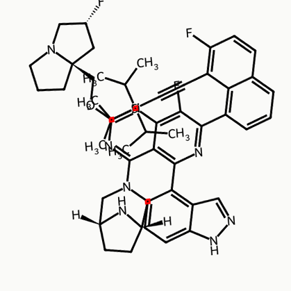 CC(C)[Si](C#Cc1c(F)ccc2cccc(-c3nc(-c4cccc5[nH]ncc45)c4c(N5C[C@H]6CC[C@@H](C5)N6)nc(OC[C@@]56CCCN5C[C@H](F)C6)nc4c3F)c12)(C(C)C)C(C)C